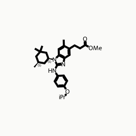 COC(=O)CCc1cc2nc(Nc3ccc(OC(C)C)cc3)n([C@H]3C[C@@H](C)CC(C)(C)C3)c2cc1C